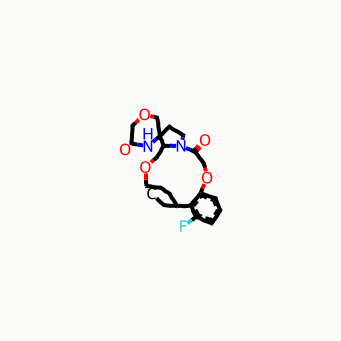 O=C1COCC2(CCN3C(=O)COc4cccc(F)c4C4CCC(CC4)OCC32)N1